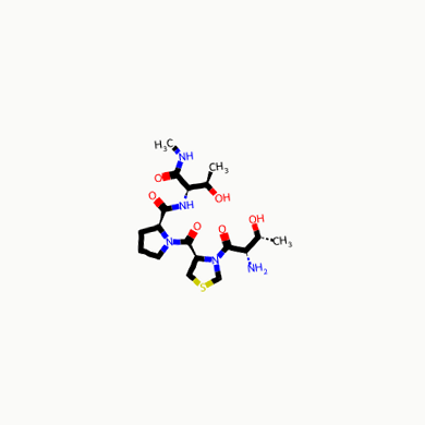 CNC(=O)[C@@H](NC(=O)[C@@H]1CCCN1C(=O)[C@@H]1CSCN1C(=O)[C@@H](N)[C@@H](C)O)[C@@H](C)O